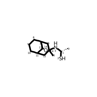 C[C@H](S)NC1(C)CC2CCCC(C1)C2O